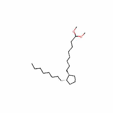 CCCCCCCC[C@H]1CCC[C@@H]1CCCCCCCC(OC)OC